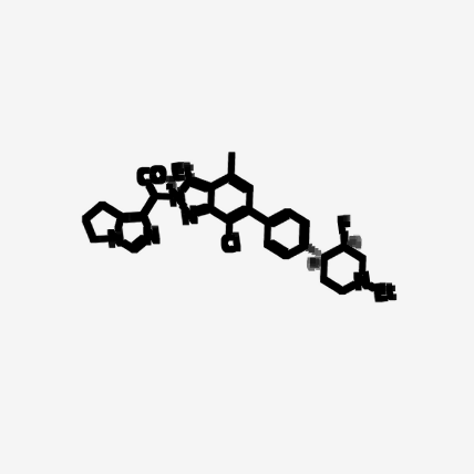 CCOC(=O)C(c1ncn2c1CCC2)n1cc2c(C)cc(-c3ccc([C@H]4CCN(CC)C[C@@H]4F)cc3)c(Cl)c2n1